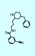 N#Cc1cccc(C(=O)NCCCC2CC(Cc3ccccc3)CCN2)c1